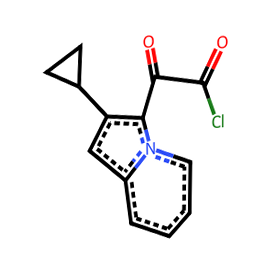 O=C(Cl)C(=O)c1c(C2CC2)cc2ccccn12